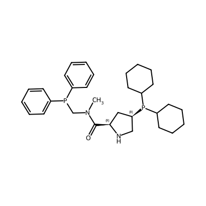 CN(CP(c1ccccc1)c1ccccc1)C(=O)[C@H]1C[C@@H](P(C2CCCCC2)C2CCCCC2)CN1